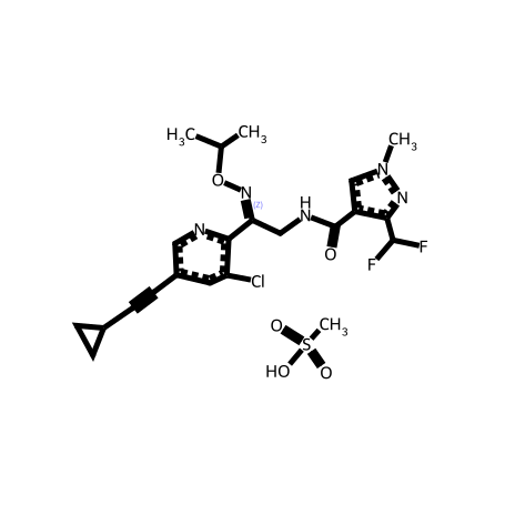 CC(C)O/N=C(/CNC(=O)c1cn(C)nc1C(F)F)c1ncc(C#CC2CC2)cc1Cl.CS(=O)(=O)O